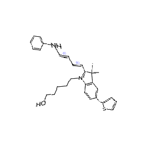 CC1(C)C(/C=C/C=C/Nc2ccccc2)=[N+](CCCCCO)c2ccc(-c3cccs3)cc21